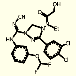 CCN(C(=O)CO)N1CN(/C(=N\C#N)Nc2cccc(OC(F)F)c2)N=C1c1ccc(Cl)c(Cl)c1